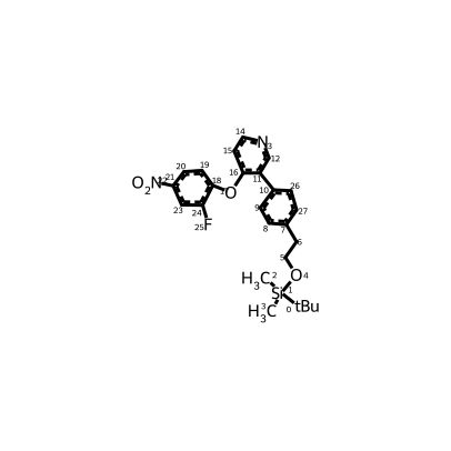 CC(C)(C)[Si](C)(C)OCCc1ccc(-c2cnccc2Oc2ccc([N+](=O)[O-])cc2F)cc1